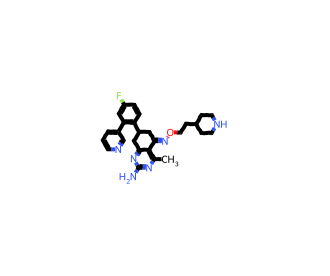 Cc1nc(N)nc2c1C(=NOCCC1CCNCC1)CC(c1ccc(F)cc1-c1cccnc1)C2